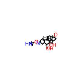 C[C@]12CC/C(=N\OC3CNC3)CC1[C@@H](CO)[C@@H](O)[C@@H]1[C@@H]2CC[C@]2(C)C(=O)CC[C@@H]12